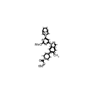 COc1nc(N2CC3CCC(C2)O3)cc(-n2ncc3cc(C)c(C4CCN(C(=O)OC(C)(C)C)CC4)cc32)n1